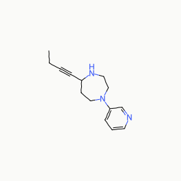 CCC#CC1CCN(c2cccnc2)CCN1